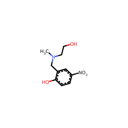 CN(CCO)Cc1cc([N+](=O)[O-])ccc1O